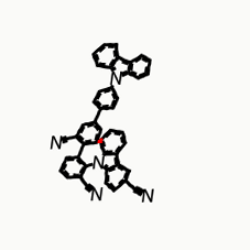 N#Cc1ccc2c(c1)c1ccccc1n2-c1c(C#N)cccc1-c1ccc(-c2ccc(-n3c4ccccc4c4ccccc43)cc2)cc1C#N